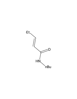 C[CH]/C=C/C(=O)NCCCC